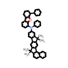 CC1(C)c2cc(N(c3ccccc3)c3cccc4c3oc3c(-c5ccccc5)cccc34)ccc2-c2cc3c(cc21)-c1c(ccc2ccccc12)C3(C)C